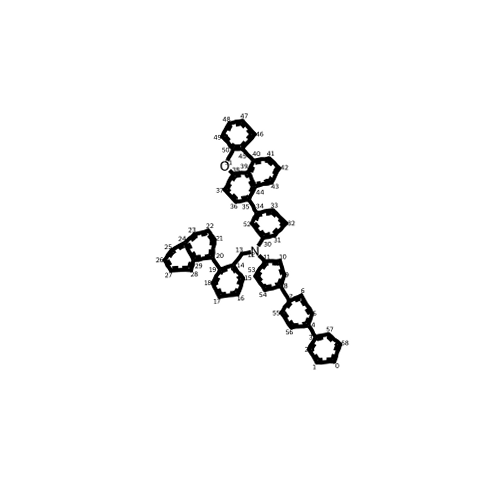 c1ccc(-c2ccc(-c3ccc(N(Cc4ccccc4-c4cccc5ccccc45)c4cccc(-c5ccc6c7c(cccc57)-c5ccccc5O6)c4)cc3)cc2)cc1